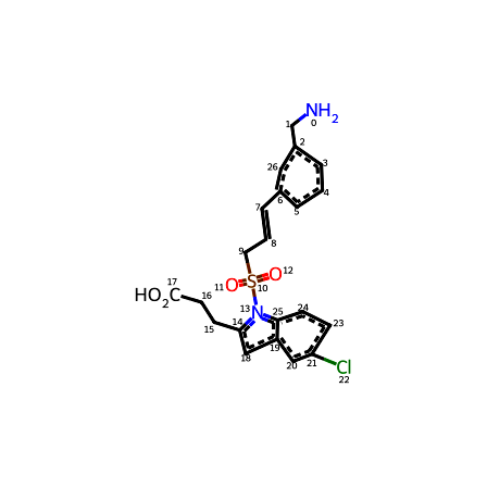 NCc1cccc(C=CCS(=O)(=O)n2c(CCC(=O)O)cc3cc(Cl)ccc32)c1